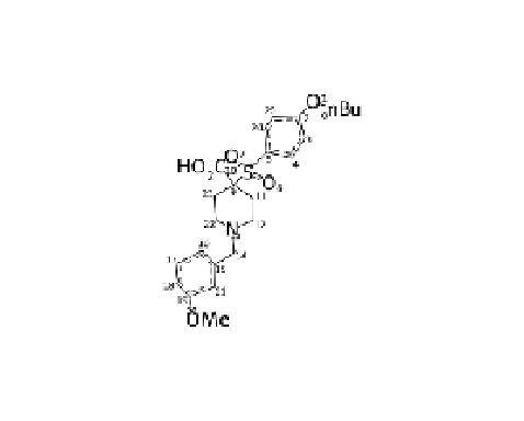 CCCCOc1ccc(S(=O)(=O)C2(C(=O)O)CCN(Cc3cccc(OC)c3)CC2)cc1